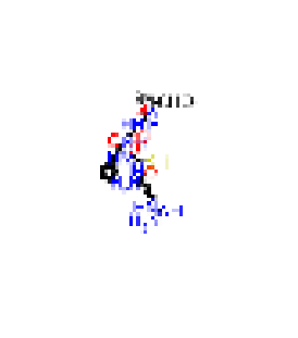 CC[C@H](C)[C@@H]([C]=O)NC(=O)CNC(=O)CNC(=O)[C@H](Cc1ccccc1)NC(=O)[C@H](CS)NC(=O)[C@@H](N)CCCNC(=N)N